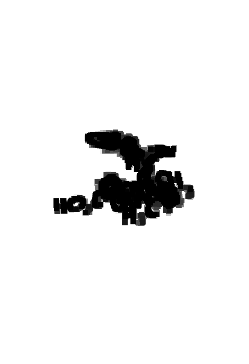 Cc1cccc(C)c1-c1cc(OCC(CC(C)(C)C)NCc2ccc(C3CCOCC3)cn2)nc(NS(=O)(=O)c2cccc(C(=O)O)c2)n1